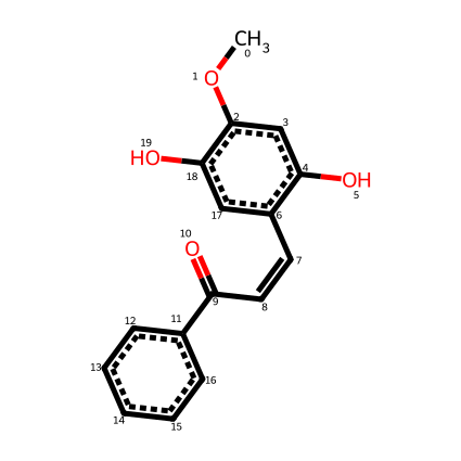 COc1cc(O)c(/C=C\C(=O)c2ccccc2)cc1O